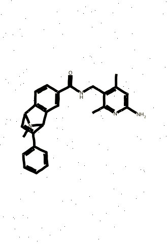 Cc1cc(N)nc(C)c1CNC(=O)c1ccc2c(c1)C1C(c3ccccc3)=CC2N1C